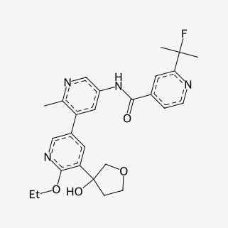 CCOc1ncc(-c2cc(NC(=O)c3ccnc(C(C)(C)F)c3)cnc2C)cc1C1(O)CCOC1